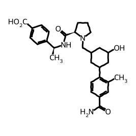 Cc1cc(C(N)=O)ccc1C1CC(O)CC(CN2CCC[C@@H]2C(=O)N[C@@H](C)c2ccc(C(=O)O)cc2)C1